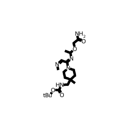 C/N=C\C(=N/C(C)OCC(N)=O)N1CCC(C)(CNC(=O)OC(C)(C)C)CC1